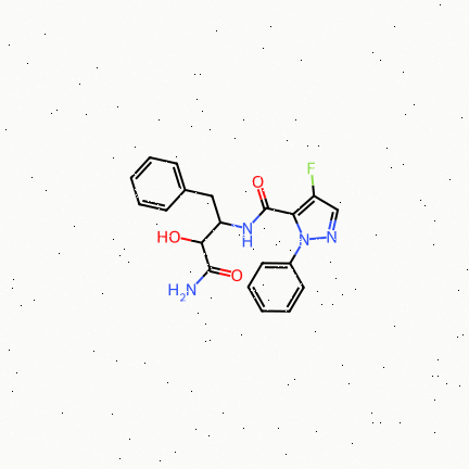 NC(=O)C(O)C(Cc1ccccc1)NC(=O)c1c(F)cnn1-c1ccccc1